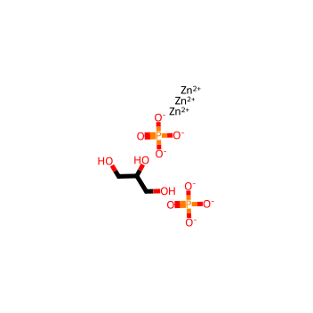 O=P([O-])([O-])[O-].O=P([O-])([O-])[O-].OCC(O)CO.[Zn+2].[Zn+2].[Zn+2]